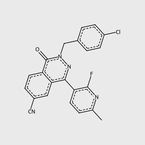 Cc1ccc(-c2nn(Cc3ccc(Cl)cc3)c(=O)c3ccc(C#N)cc23)c(F)n1